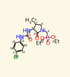 CCOP(=O)(CN1C[C@H](C)[C@H](NC(=O)Nc2ccc(Br)cc2)C1=O)OCC